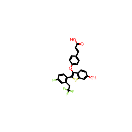 O=C(O)C=Cc1ccc(Oc2c(-c3ccc(F)cc3CC(F)(F)F)sc3cc(O)ccc23)cc1